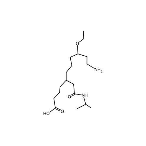 CCOC(CCN)CCCC(CCCC(=O)O)CC(=O)NC(C)C